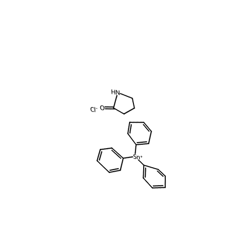 O=C1CCCN1.[Cl-].c1cc[c]([Sn+]([c]2ccccc2)[c]2ccccc2)cc1